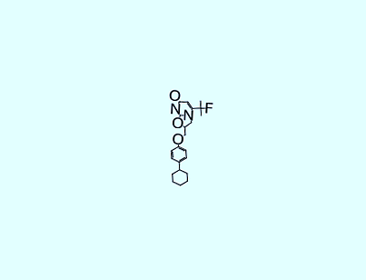 CC(C)(F)c1cc(=O)nc2n1CC(COc1ccc(C3CCCCC3)cc1)O2